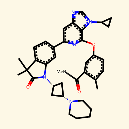 CNC(=O)c1cc(Oc2nc(-c3ccc4c(c3)N([C@H]3C[C@@H](N5CCCCC5)C3)C(=O)C4(C)C)cc3ncn(C4CC4)c23)ccc1C